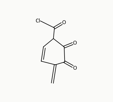 C=C1C=CC(C(=O)Cl)C(=O)C1=O